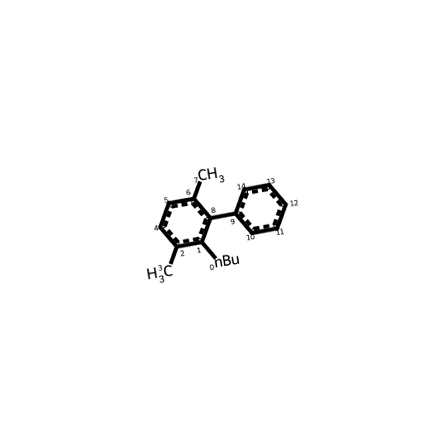 CCCCc1c(C)ccc(C)c1-c1ccccc1